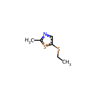 CCSc1cnc(C)s1